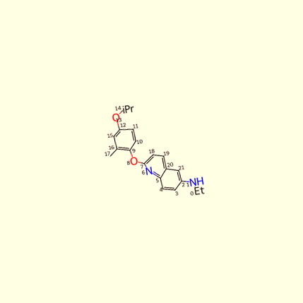 CCNc1ccc2nc(Oc3ccc(OC(C)C)cc3C)ccc2c1